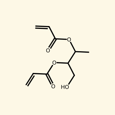 C=CC(=O)OC(C)C(CO)OC(=O)C=C